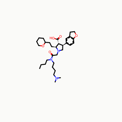 CCCCN(CCCCN(C)C)C(=O)CN1C[C@H](c2ccc3c(c2)CCO3)[C@@H](C(=O)O)[C@@H]1CCC1CCCCO1